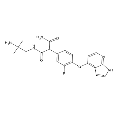 CC(C)(N)CNC(=O)C(C(N)=O)c1ccc(Oc2ccnc3[nH]ccc23)c(F)c1